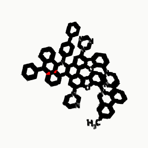 Cc1ccc2c(c1)CN(c1cccc3c1oc1c(N4C=CC=NC4)cc4c(-c5ccccc5)c(N(c5ccc(-c6ccccc6)cc5)c5ccc(-c6ccccc6)c6ccccc56)c5cc(N6C=NC=NC6)c6c7cccc(N8C=NC=CC8)c7oc6c5c4c13)c1ccccc1-2